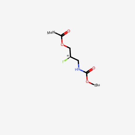 CNC(=O)OC[C@H](F)CNC(=O)OC(C)(C)C